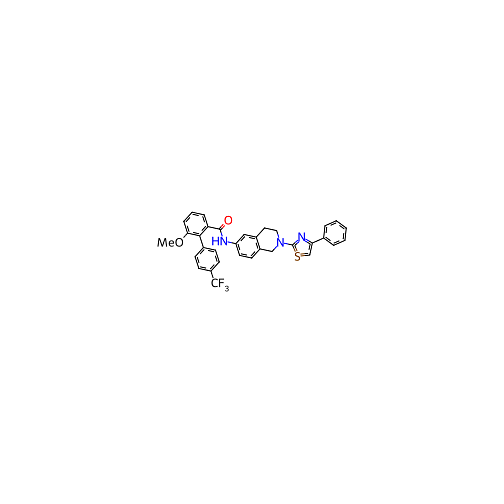 COc1cccc(C(=O)Nc2ccc3c(c2)CCN(c2nc(-c4ccccc4)cs2)C3)c1-c1ccc(C(F)(F)F)cc1